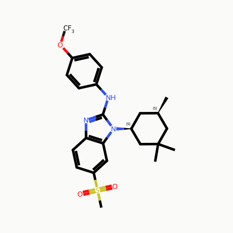 C[C@@H]1C[C@H](n2c(Nc3ccc(OC(F)(F)F)cc3)nc3ccc(S(C)(=O)=O)cc32)CC(C)(C)C1